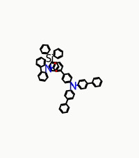 c1ccc(-c2ccc(N(c3ccc(-c4ccccc4)cc3)c3ccc(-c4cccc(-n5c6ccccc6c6cccc([Si](c7ccccc7)(c7ccccc7)c7ccccc7)c65)c4)cc3)cc2)cc1